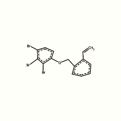 C=Cc1ccccc1COc1ccc(Br)c(Br)c1Br